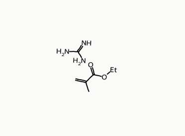 C=C(C)C(=O)OCC.N=C(N)N